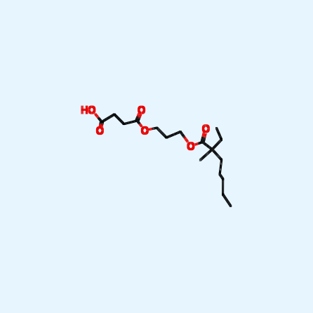 CCCCCC(C)(CC)C(=O)OCCCOC(=O)CCC(=O)O